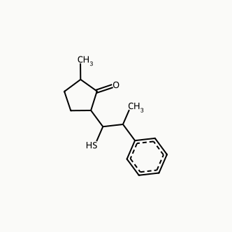 CC1CCC(C(S)C(C)c2ccccc2)C1=O